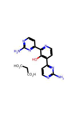 Nc1nccc(-c2ccnc(-c3ccnc(N)n3)c2O)n1.O=C(O)CC(=O)O